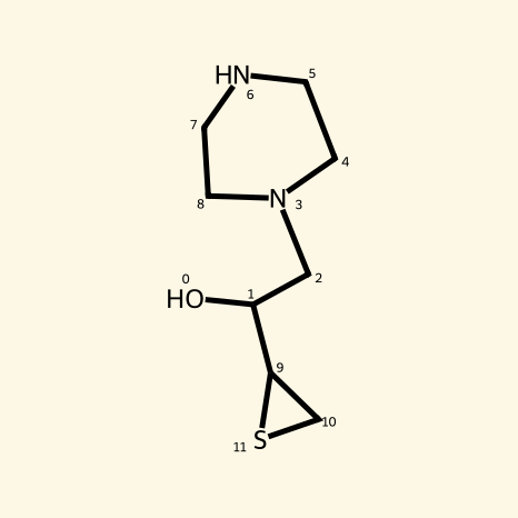 OC(CN1CCNCC1)C1CS1